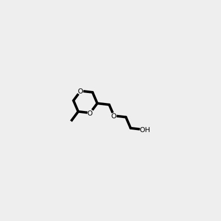 CC1COCC(COCCO)O1